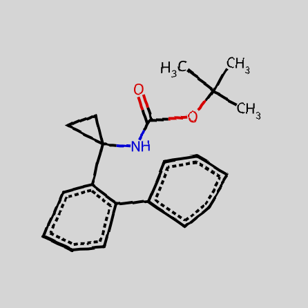 CC(C)(C)OC(=O)NC1(c2ccccc2-c2ccccc2)CC1